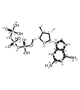 C[C@H]1[C@H](C)[C@@H](COP(=O)(O)OP(=O)(O)OP(=O)(O)O)O[C@H]1n1cnc2c(N)nc(N)nc21